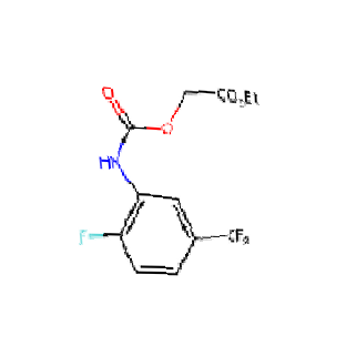 CCOC(=O)COC(=O)Nc1cc(C(F)(F)F)ccc1F